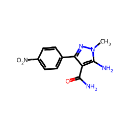 Cn1nc(-c2ccc([N+](=O)[O-])cc2)c(C(N)=O)c1N